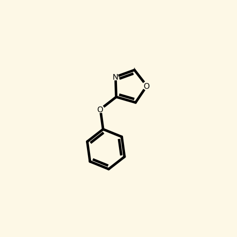 [c]1nc(Oc2ccccc2)co1